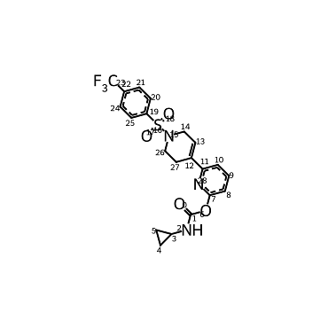 O=C(NC1CC1)Oc1cccc(C2=CCN(S(=O)(=O)c3ccc(C(F)(F)F)cc3)CC2)n1